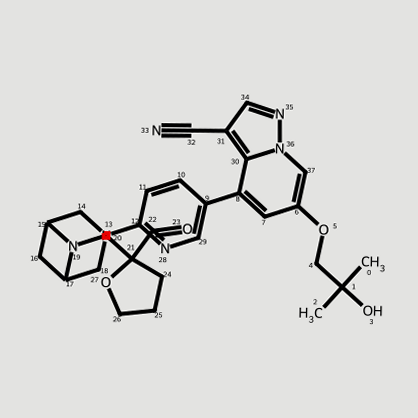 CC(C)(O)COc1cc(-c2ccc(N3CC4CC(C3)N4CC3(C=O)CCCO3)nc2)c2c(C#N)cnn2c1